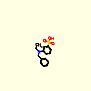 CCN(Cc1ccccc1)c1cccc(S(=O)(=O)O)c1